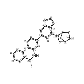 C[C@@H](Nc1cc(-c2cc3nccn3c(N3CC4CC3CN4)n2)ccn1)c1ccccc1